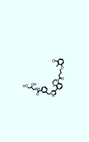 Cc1c(Cl)cccc1OCCCC(=O)N1CCSc2c(-c3cnn(Cc4cccc(C(=O)NCC(O)CO)c4)c3)cccc21